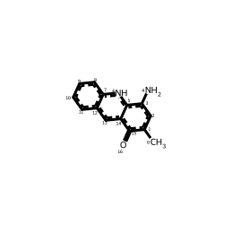 Cc1cc(N)c2[nH]c3ccccc3cc-2c1=O